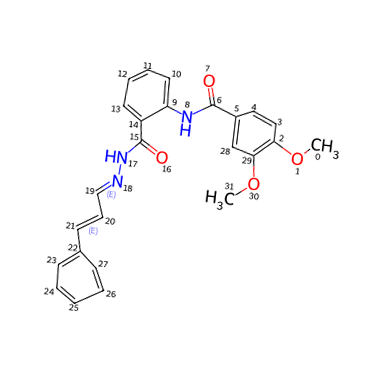 COc1ccc(C(=O)Nc2ccccc2C(=O)N/N=C/C=C/c2ccccc2)cc1OC